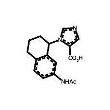 CC(=O)Nc1ccc2c(c1)C(n1cncc1C(=O)O)CCC2